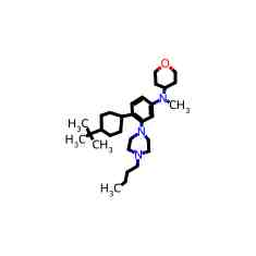 CCCCN1CCN(c2cc(N(C)C3CCOCC3)ccc2C2CCC(C(C)(C)C)CC2)CC1